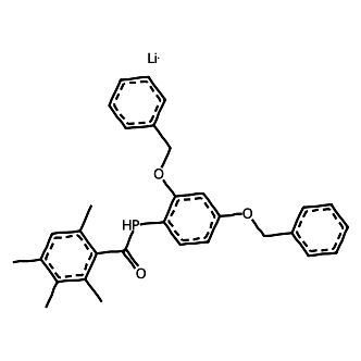 Cc1cc(C)c(C(=O)Pc2ccc(OCc3ccccc3)cc2OCc2ccccc2)c(C)c1C.[Li]